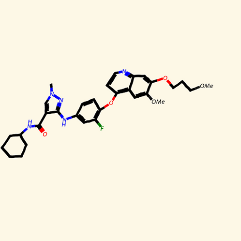 COCCCOc1cc2nccc(Oc3ccc(Nc4nn(C)cc4C(=O)NC4CCCCC4)cc3F)c2cc1OC